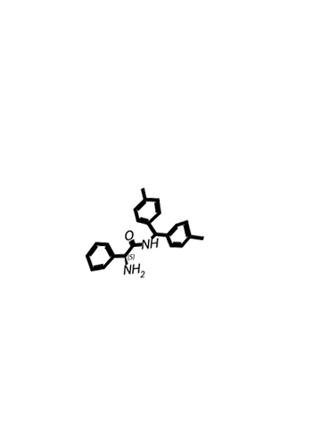 Cc1ccc(C(NC(=O)[C@@H](N)c2ccccc2)c2ccc(C)cc2)cc1